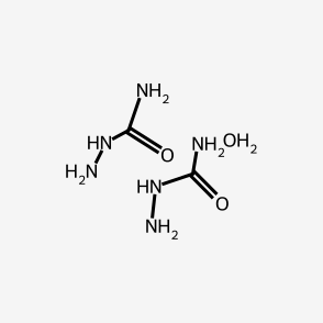 NNC(N)=O.NNC(N)=O.O